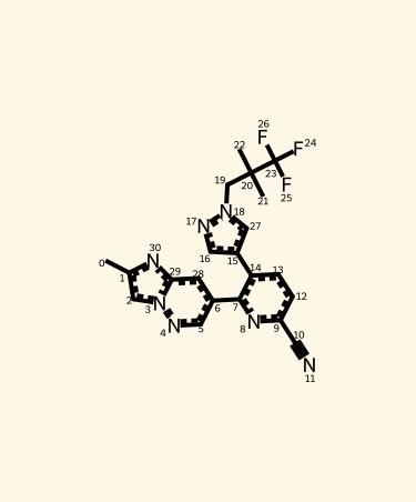 Cc1cn2ncc(-c3nc(C#N)ccc3-c3cnn(CC(C)(C)C(F)(F)F)c3)cc2n1